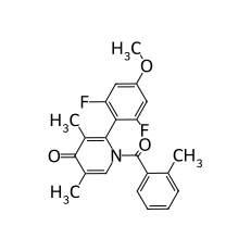 COc1cc(F)c(-c2c(C)c(=O)c(C)cn2C(=O)c2ccccc2C)c(F)c1